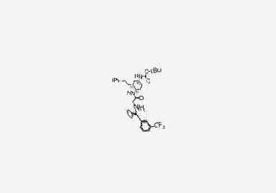 CC(C)CC[C@H]1C[C@H](NC(=O)OC(C)(C)C)CC[C@@H]1NC(=O)CNC(=O)c1cccc(C(F)(F)F)c1